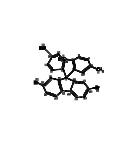 Cc1ccc(C)c(C2(c3ccc(O)cc3)c3cc(Br)ccc3-c3ccc(Br)cc32)c1